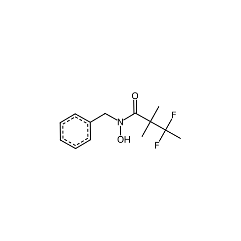 CC(F)(F)C(C)(C)C(=O)N(O)Cc1ccccc1